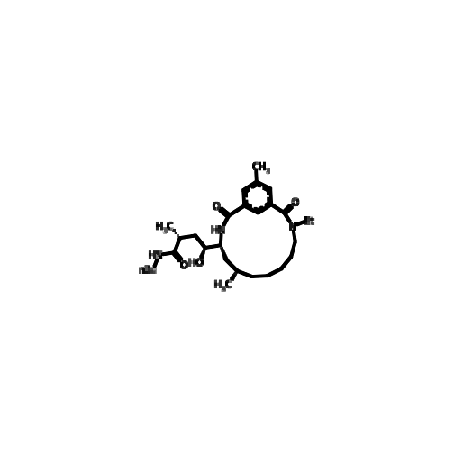 CCCCNC(=O)[C@H](C)C[C@H](O)[C@@H]1C[C@H](C)CCCCCN(CC)C(=O)c2cc(C)cc(c2)C(=O)N1